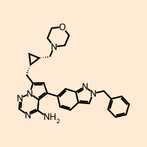 Nc1ncnn2c(C[C@@H]3C[C@@H]3CN3CCOCC3)cc(-c3ccc4cn(Cc5ccccc5)nc4c3)c12